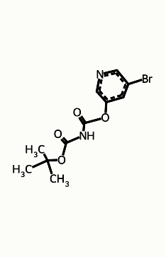 CC(C)(C)OC(=O)NC(=O)Oc1cncc(Br)c1